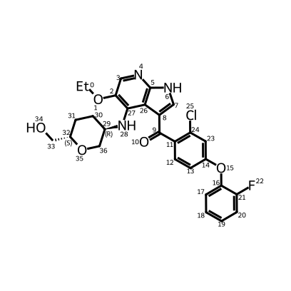 CCOc1cnc2[nH]cc(C(=O)c3ccc(Oc4ccccc4F)cc3Cl)c2c1N[C@@H]1CC[C@@H](CO)OC1